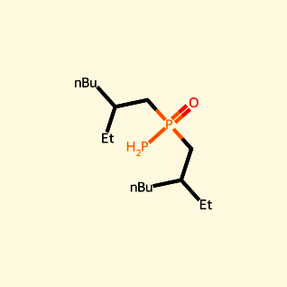 CCCCC(CC)CP(=O)(P)CC(CC)CCCC